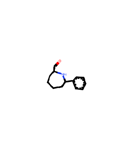 O=CC1CCCCC(c2ccccc2)N1